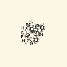 CN(Cc1nc(C(F)F)cs1)C(=O)c1cccc(C(=O)N[C@@H](Cc2ccccc2)[C@H](O)CN(C)c2cncc(C(C)(C)F)c2)c1